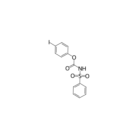 O=C(NS(=O)(=O)c1ccccc1)Oc1ccc(I)cc1